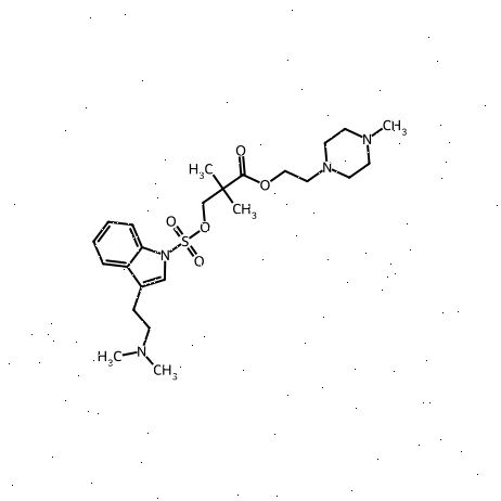 CN(C)CCc1cn(S(=O)(=O)OCC(C)(C)C(=O)OCCN2CCN(C)CC2)c2ccccc12